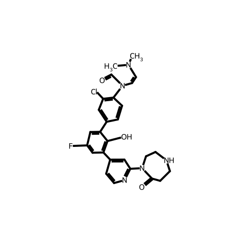 CN(C)/C=C\N(C=O)c1ccc(-c2cc(F)cc(-c3ccnc(N4CCNCCC4=O)c3)c2O)cc1Cl